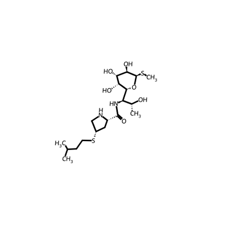 CS[C@H]1O[C@H]([C@H](NC(=O)[C@@H]2C[C@H](SCCC(C)C)CN2)[C@@H](C)O)[C@H](O)[C@H](O)[C@H]1O